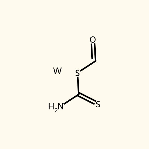 NC(=S)SC=O.[W]